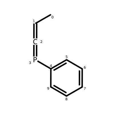 CC=C=Pc1ccccc1